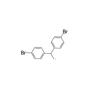 [CH2]C(c1ccc(Br)cc1)c1ccc(Br)cc1